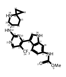 COC(=O)Nc1ccc2c(-c3nc(N[C@H]4CCC5(CC5)NC4)ncc3C(F)(F)F)c[nH]c2c1